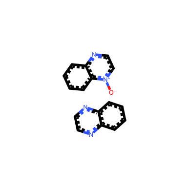 [O-][n+]1ccnc2ccccc21.c1ccc2nccnc2c1